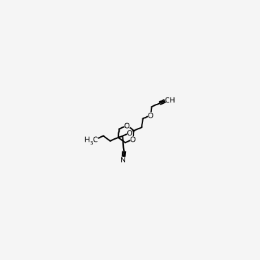 C#CCOCCC12OCC(CCC)(CO1)C(C#N)O2